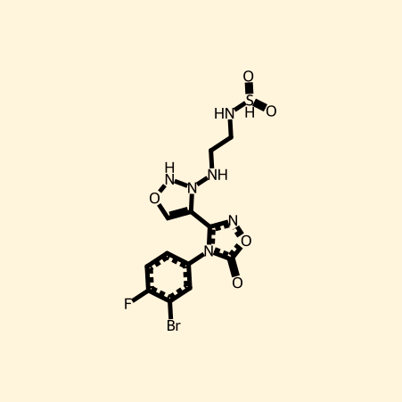 O=c1onc(C2=CONN2NCCN[SH](=O)=O)n1-c1ccc(F)c(Br)c1